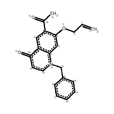 C=CCOc1cc2c(cc1C(C)=O)c(=O)ccn2Cc1ccccc1